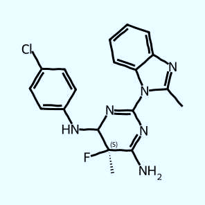 Cc1nc2ccccc2n1C1=NC(Nc2ccc(Cl)cc2)[C@](C)(F)C(N)=N1